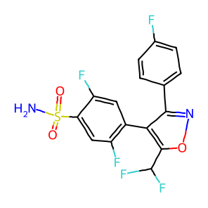 NS(=O)(=O)c1cc(F)c(-c2c(-c3ccc(F)cc3)noc2C(F)F)cc1F